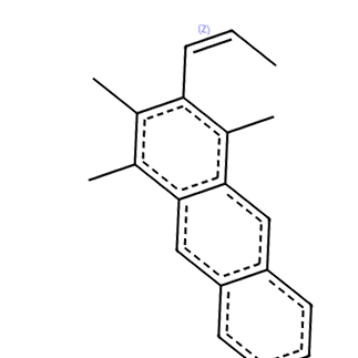 C/C=C\c1c(C)c(C)c2cc3ccccc3cc2c1C